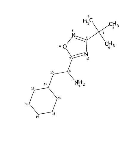 CC(C)(C)c1noc(C(N)CC2CCCCC2)n1